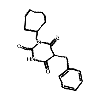 O=C1NC(=O)N(C2CCCCC2)C(=O)C1Cc1ccccc1